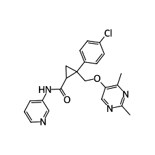 Cc1ncc(OCC2(c3ccc(Cl)cc3)CC2C(=O)Nc2cccnc2)c(C)n1